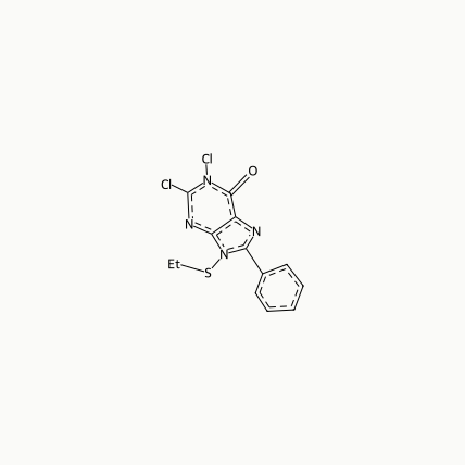 CCSn1c(-c2ccccc2)nc2c(=O)n(Cl)c(Cl)nc21